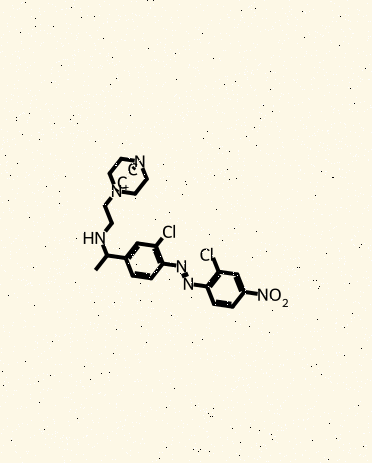 CC(NCC[N+]12CCN(CC1)CC2)c1ccc(N=Nc2ccc([N+](=O)[O-])cc2Cl)c(Cl)c1